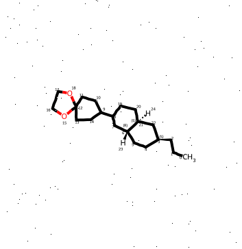 CCC[C@H]1CC[C@@H]2CC(C3CCC4(CC3)OCCO4)CC[C@H]2C1